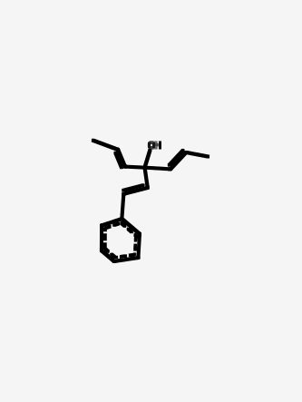 CC=CC(O)(C=CC)C=Cc1ccccc1